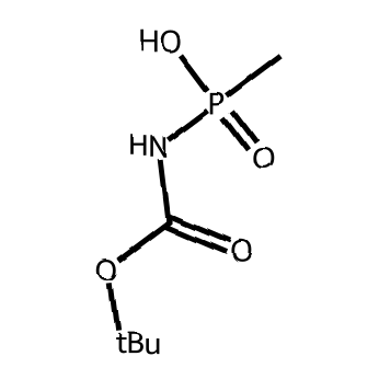 CC(C)(C)OC(=O)NP(C)(=O)O